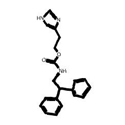 O=C(NCC(c1ccccc1)c1ccccc1)OCCc1c[nH]cn1